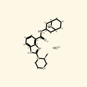 C[C@H]1COCCN1c1nc2c(C(=O)NC3CC4CCCC(C3)N4C)cccc2o1.Cl